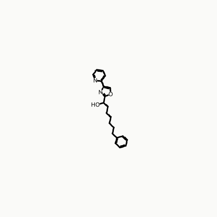 OC(CCCCCCc1ccccc1)c1nc(-c2ccccn2)co1